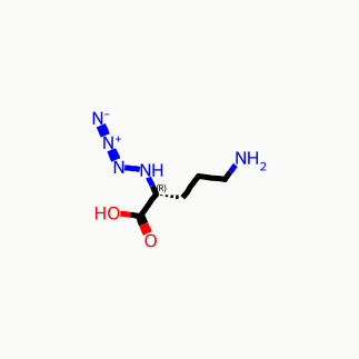 [N-]=[N+]=NN[C@H](CCCN)C(=O)O